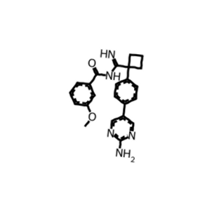 COc1cccc(C(=O)NC(=N)C2(c3ccc(-c4cnc(N)nc4)cc3)CCC2)c1